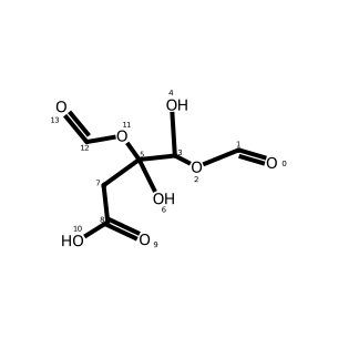 O=COC(O)C(O)(CC(=O)O)OC=O